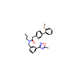 CCCN(Cc1cccc(-c2noc(C)n2)c1)C(=O)Cc1ccc(-c2ccccc2SC)cc1